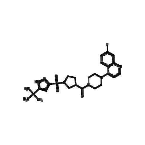 CC(C)(C)c1nc(S(=O)(=O)N2CCC(C(=O)N3CCN(c4ccnc5cc(F)ccc45)CC3)C2)n[nH]1